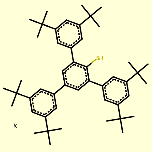 CC(C)(C)c1cc(-c2cc(-c3cc(C(C)(C)C)cc(C(C)(C)C)c3)c(S)c(-c3cc(C(C)(C)C)cc(C(C)(C)C)c3)c2)cc(C(C)(C)C)c1.[K]